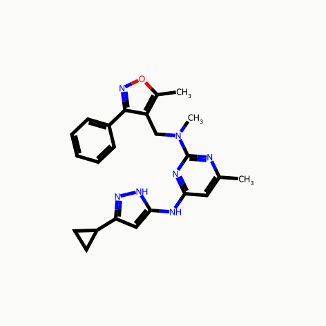 Cc1cc(Nc2cc(C3CC3)n[nH]2)nc(N(C)Cc2c(-c3ccccc3)noc2C)n1